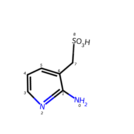 Nc1ncccc1CS(=O)(=O)O